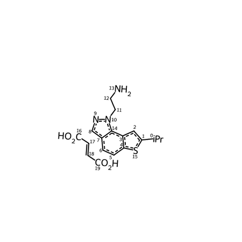 CC(C)c1cc2c(ccc3cnn(CCN)c32)s1.O=C(O)C=CC(=O)O